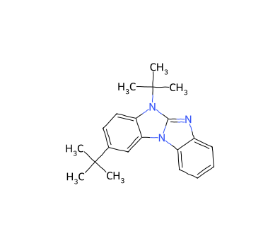 CC(C)(C)c1ccc2c(c1)n1c3ccccc3nc1n2C(C)(C)C